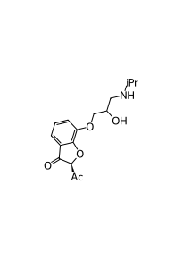 CC(=O)[C@@H]1Oc2c(OCC(O)CNC(C)C)cccc2C1=O